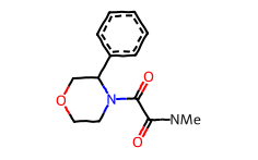 CNC(=O)C(=O)N1CCOCC1c1ccccc1